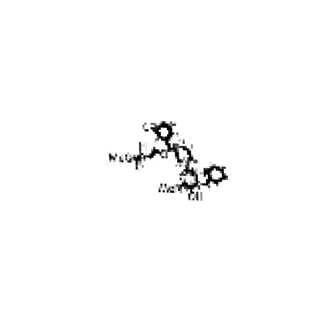 CNC[C@@H](O)[C@H](CC1CCCCC1)NC(=O)N1CCC[C@@H]([C@@H](OCCNC(=O)OC)c2cccc(Cl)c2)C1